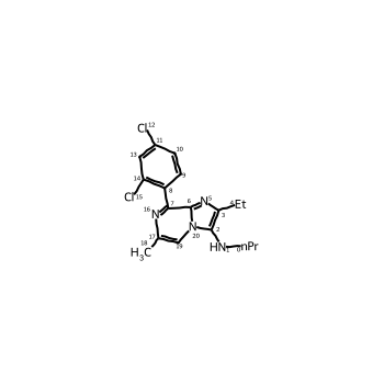 CCCNc1c(CC)nc2c(-c3ccc(Cl)cc3Cl)nc(C)cn12